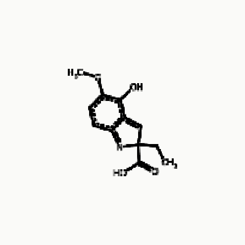 CCC1(C(=O)O)C=c2c(O)c(OC)ccc2=N1